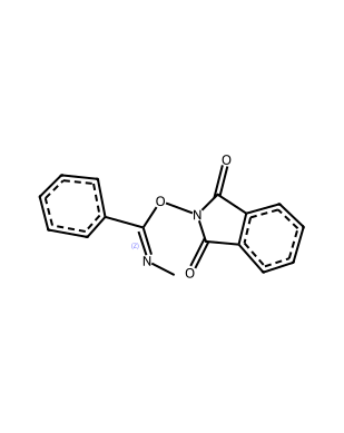 C/N=C(\ON1C(=O)c2ccccc2C1=O)c1ccccc1